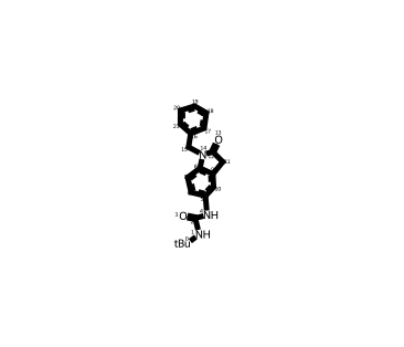 CC(C)(C)NC(=O)Nc1ccc2c(c1)CC(=O)N2Cc1ccccc1